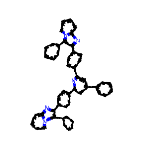 c1ccc(-c2cc(-c3ccc(-c4nc5ccccn5c4-c4ccccc4)cc3)nc(-c3ccc(-c4nc5ccccn5c4-c4ccccc4)cc3)c2)cc1